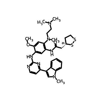 COc1cc(N(C)CCN(C)C)c(NC(=O)C[C@@H]2CCSS2)cc1Nc1nccc(-c2cn(C)c3ccccc23)n1